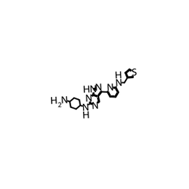 NC1CCC(Nc2ncc3c(-c4cccc(NCc5ccsc5)n4)n[nH]c3n2)CC1